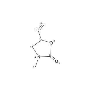 C=CC1CN(C)C(=O)O1